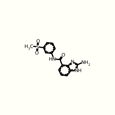 CS(=O)(=O)c1cccc(NC(=O)c2cccc3[nH]c(N)nc23)c1